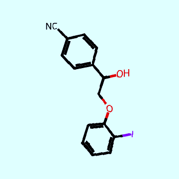 N#Cc1ccc(C(O)COc2ccccc2I)cc1